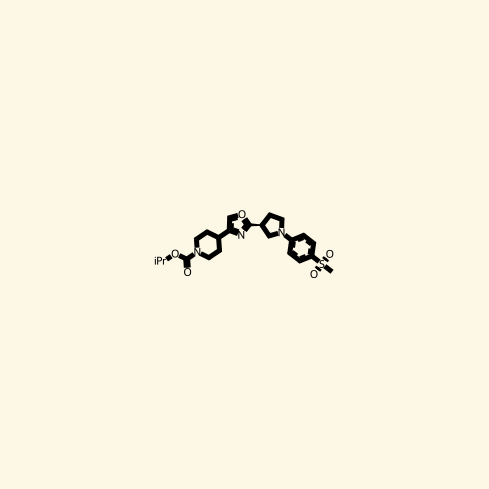 CC(C)OC(=O)N1CCC(c2coc([C@H]3CCN(c4ccc(S(C)(=O)=O)cc4)C3)n2)CC1